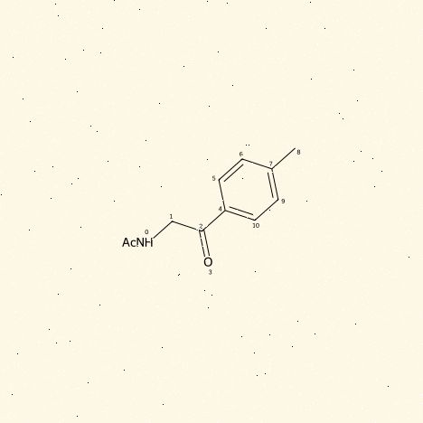 CC(=O)NCC(=O)c1ccc(C)cc1